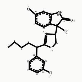 CCCCC(C1=NC(C2(Br)C(=O)Nc3cc(Cl)ccc32)CS1)c1cccc(Cl)c1